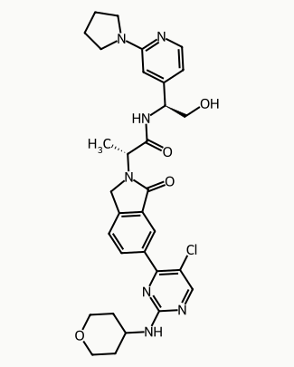 C[C@H](C(=O)N[C@H](CO)c1ccnc(N2CCCC2)c1)N1Cc2ccc(-c3nc(NC4CCOCC4)ncc3Cl)cc2C1=O